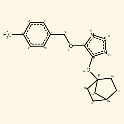 FC(F)(F)c1ccc(COc2nsnc2OC23CCC(CC2)C3)cc1